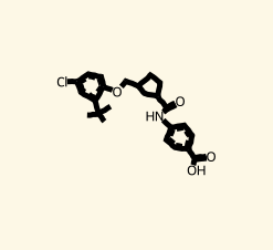 CC(C)(C)c1cc(Cl)ccc1OCC1CCC(C(=O)Nc2ccc(C(=O)O)cc2)C1